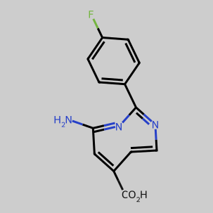 NC1=N\C(c2ccc(F)cc2)=N/C=C/C(C(=O)O)=C\1